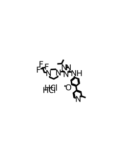 COc1cc(Nc2nc(N3CCCN(CC(F)(F)F)CC3)n(C(C)C)n2)ccc1-c1ccnc(C)c1.Cl.Cl